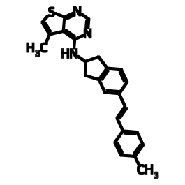 Cc1ccc(C=Cc2ccc3c(c2)CC(Nc2ncnc4scc(C)c24)C3)cc1